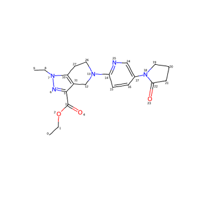 CCOC(=O)c1nn(CC)c2c1CN(c1ccc(N3CCCC3=O)cn1)CC2